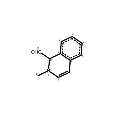 CN1C=Cc2ccccc2C1C=O